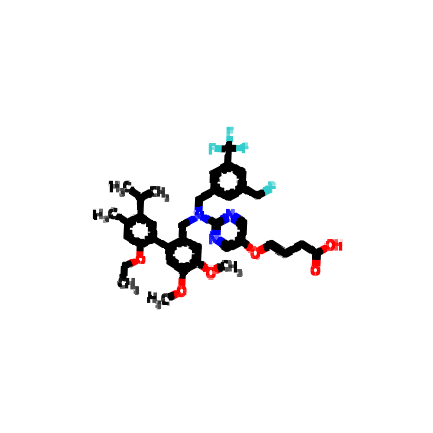 CCOc1cc(C)c(C(C)C)cc1-c1cc(OC)c(OC)cc1CN(Cc1cc(CF)cc(C(F)(F)F)c1)c1ncc(OCCCC(=O)O)cn1